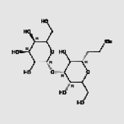 CC(C)(C)CC[C@@H]1OC(CO)[C@H](O)[C@H](O[C@H]2OC(CO)[C@H](O)[C@H](O)C2O)C1O